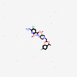 COc1nc(N)c(Cl)cc1C(=O)N[C@H]1CCN(CC(=O)OC(C)c2ccc(F)cc2)C[C@H]1OC